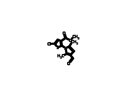 COC(=O)c1cc(Cl)sc1-n1c(C)cc(C=O)c1C